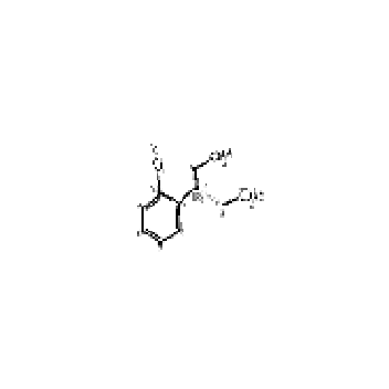 CC(=O)OC[C@@H](CO)c1ccccc1Cl